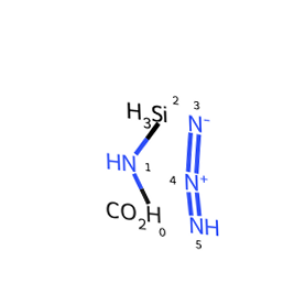 O=C(O)N[SiH3].[N-]=[N+]=N